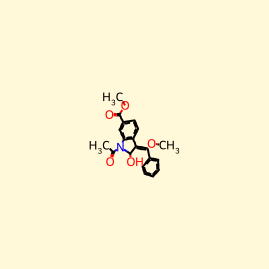 COC(=O)c1ccc2c(c1)N(C(C)=O)C(O)/C2=C(/OC)c1ccccc1